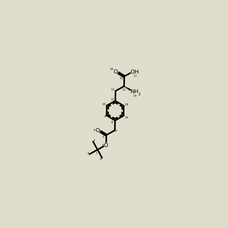 CC(C)(C)OC(=O)Cc1ccc(C[C@H](N)C(=O)O)cc1